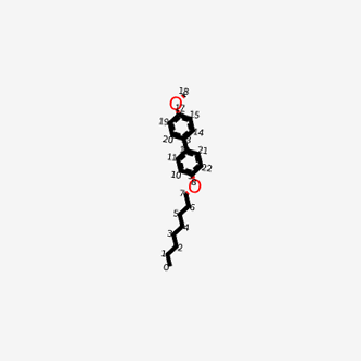 CCCCCCCCOc1ccc(-c2ccc(OC)cc2)cc1